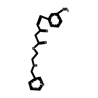 O=C(/C=C\c1cccc([N+](=O)[O-])c1)CC(=O)OCCNCc1cccnc1